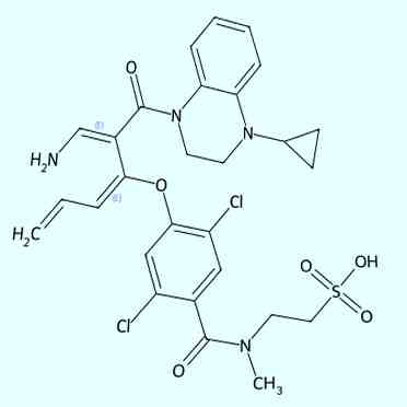 C=C/C=C(Oc1cc(Cl)c(C(=O)N(C)CCS(=O)(=O)O)cc1Cl)\C(=C/N)C(=O)N1CCN(C2CC2)c2ccccc21